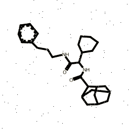 O=C(NCCCc1ccccc1)C(NC(=O)C1C2CC3CC(C2)CC1C3)C1CCCCC1